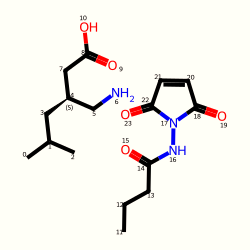 CC(C)C[C@H](CN)CC(=O)O.CCCC(=O)NN1C(=O)C=CC1=O